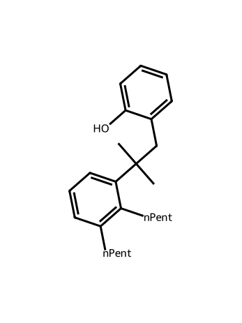 CCCCCc1cccc(C(C)(C)Cc2ccccc2O)c1CCCCC